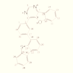 c1cc(-c2ncnc3c2oc2ccccc23)cc(-c2cccc3c2sc2ccccc23)c1